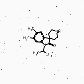 Cc1cc2c(cc1C)C1(CCNCC1)C(=O)N2C(C)C